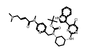 CN(C)C/C=C/C(=O)N(C)c1ccc(CN(C(=O)OC(C)(C)C)[C@H]2CCC[C@@H](Nc3ncc(Cl)c(-c4c[nH]c5ccccc45)n3)C2)nc1